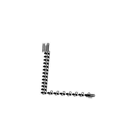 CCOC(C)=O.CCOC(C)=O.CCOC(C)=O.CCOC(C)=O.CCOC(C)=O.CCOC(C)=O.CCOC(C)=O.CCOC(C)=O.CCOC(C)=O.CCOC(C)=O.CCOC(C)=O.CCOC(C)=O.CCOC(C)=O.CCOC(C)=O.CCOC(C)=O.CCOC(C)=O.CCOC(C)=O.CCOC(C)=O.CCOC(C)=O.CCOC(C)=O.O.O.O.O.O.O.O.O.O.O.O.O